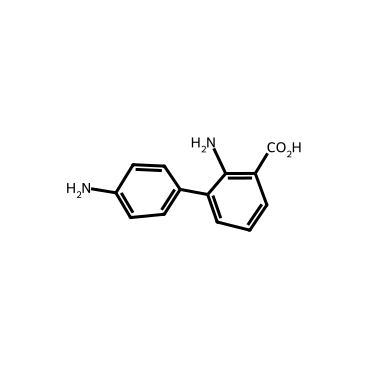 Nc1ccc(-c2cccc(C(=O)O)c2N)cc1